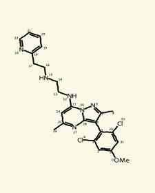 COc1cc(Cl)c(-c2c(C)nn3c(NCCNCCc4ccccn4)cc(C)nc23)c(Cl)c1